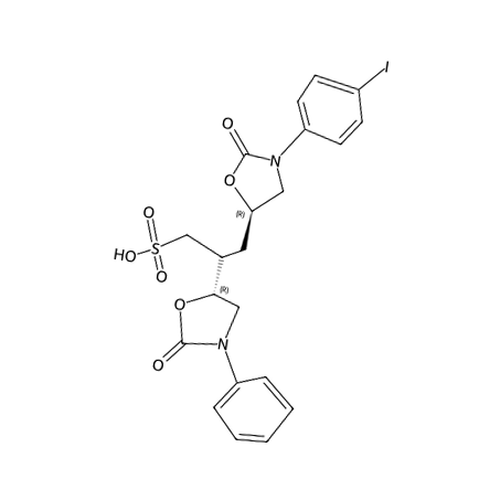 O=C1O[C@H](CC(CS(=O)(=O)O)[C@@H]2CN(c3ccccc3)C(=O)O2)CN1c1ccc(I)cc1